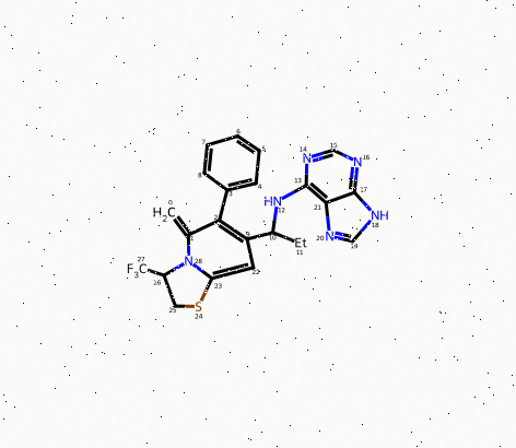 C=C1C(c2ccccc2)=C(C(CC)Nc2ncnc3[nH]cnc23)C=C2SCC(C(F)(F)F)N12